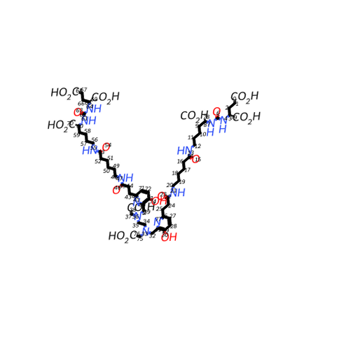 O=C(O)CC[C@H](NC(=O)N[C@@H](CCCCNC(=O)CCCCCNC(=O)CCc1ccc(O)c(CN(CCN(CC(=O)O)Cc2nc(CCC(=O)NCCCCCC(=O)NCCCC[C@H](NC(=O)N[C@@H](CCC(=O)O)C(=O)O)C(=O)O)ccc2O)CC(=O)O)n1)C(=O)O)C(=O)O